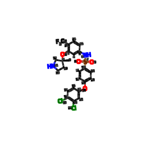 C[C@@]1(Oc2cc(NS(=O)(=O)c3ccc(Oc4ccc(Cl)c(Cl)c4)cc3)ccc2C(F)(F)F)CCNC1